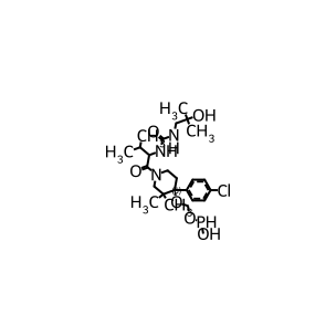 CC(C)C(NC(=O)NCC(C)(C)O)C(=O)N1CC[C@](OCOPO)(c2ccc(Cl)cc2)C(C)(C)C1